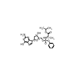 CC(C)OC(=O)[C@H](C)NP(=O)(OC[C@H]1O[C@@H](n2cnc3c(S)nc(N)nc32)C[C@@H]1O)Oc1ccccc1